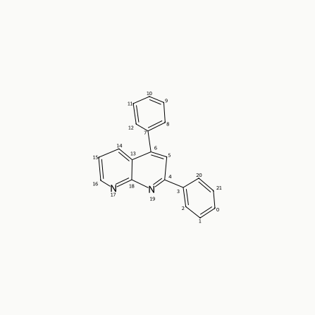 c1ccc(-c2cc(-c3ccccc3)c3cccnc3n2)cc1